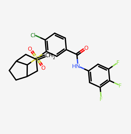 C=C1CC2CCC(C1)C2S(=O)(=O)c1cc(C(=O)Nc2cc(F)c(F)c(F)c2)ccc1Cl